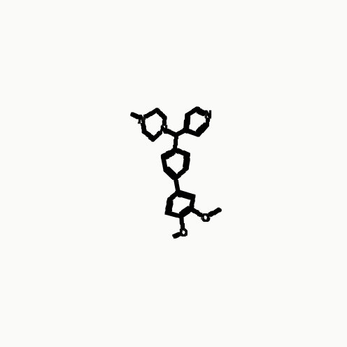 COc1ccc(-c2ccc(C(c3ccncc3)N3CCN(C)CC3)cc2)cc1OC